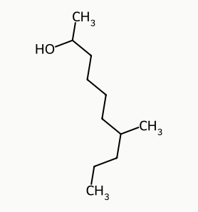 CCCC(C)CCCCC(C)O